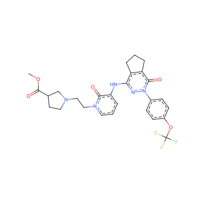 COC(=O)C1CCN(CCn2cccc(Nc3nn(-c4ccc(OC(F)(F)F)cc4)c(=O)c4c3CCC4)c2=O)C1